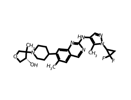 Cc1cc2cnc(Nc3cnn(C4CC4(F)F)c3C)nc2cc1C1CCN(C2(C)COC[C@H]2O)CC1